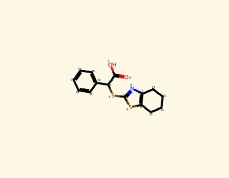 O=C(O)C(Sc1nc2c(s1)CCCC2)c1ccccc1